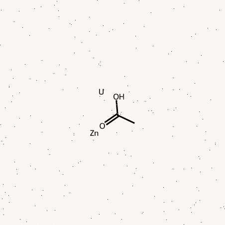 CC(=O)O.[U].[Zn]